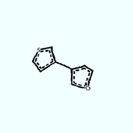 [c]1occc1-c1ccsc1